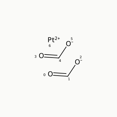 O=C[O-].O=C[O-].[Pt+2]